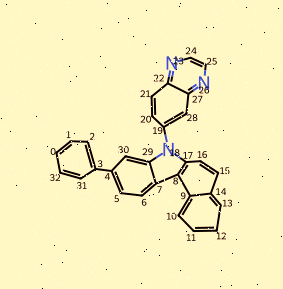 c1ccc(-c2ccc3c4c5ccccc5ccc4n(-c4ccc5nccnc5c4)c3c2)cc1